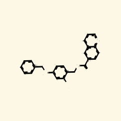 O=C(NCc1ccc(OCc2ccccc2)cc1F)c1ccc2ncccc2c1